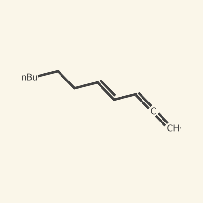 [CH]=C=CC=CCCCCCC